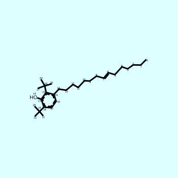 CCCCCCC=CCCCCCCCc1ccc(C(C)(C)C)c(O)c1C(C)(C)C